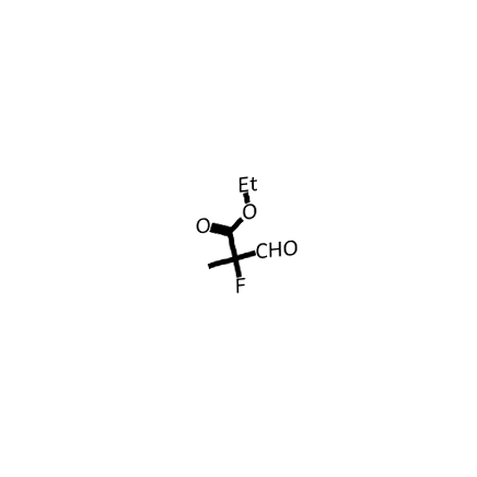 CCOC(=O)C(C)(F)C=O